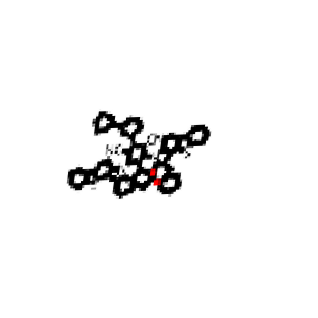 N#Cc1c(-c2cccc(-c3ccccc3)c2)c(C#N)c(-n2c3ccccc3c3c4sc5ccccc5c4ccc32)c(-c2cccc(-c3ccccc3)c2)c1-n1c2ccccc2c2c3sc4ccccc4c3ccc21